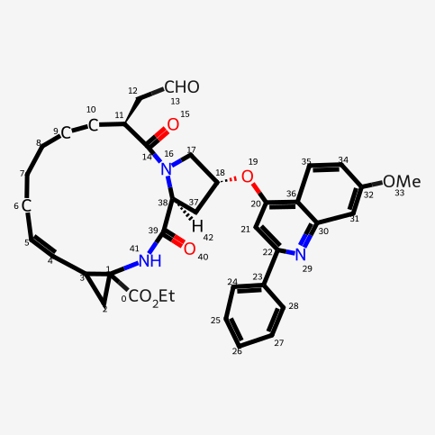 CCOC(=O)C12CC1/C=C\CCCCC[C@@H](CC=O)C(=O)N1C[C@H](Oc3cc(-c4ccccc4)nc4cc(OC)ccc34)C[C@H]1C(=O)N2